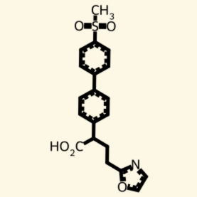 CS(=O)(=O)c1ccc(-c2ccc(C(CCc3ncco3)C(=O)O)cc2)cc1